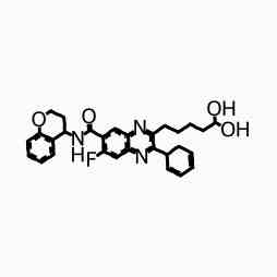 O=C(NC1CCOc2ccccc21)c1cc2nc(CCCCC(O)O)c(C3C=CC=CC3)nc2cc1F